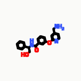 NCc1ccnc(Oc2cccc(C(=O)NC(CO)c3ccccc3)c2)c1